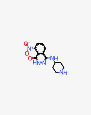 O=c1[nH]nc(NC2CCNCC2)c2cccc([N+](=O)[O-])c12